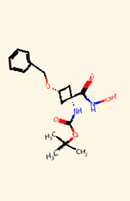 CC(C)(C)OC(=O)N[C@]1(C(=O)NO)C[C@H](OCc2ccccc2)C1